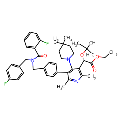 CCOC(=O)[C@@H](OC(C)(C)C)c1c(C)nc(C)c(-c2ccc(CN(Cc3ccc(F)cc3)C(=O)c3ccccc3F)cc2)c1N1CCC(C)(C)CC1